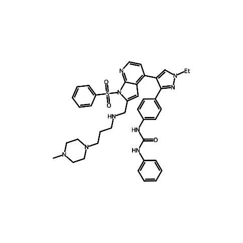 CCn1cc(-c2ccnc3c2cc(CNCCCN2CCN(C)CC2)n3S(=O)(=O)c2ccccc2)c(-c2ccc(NC(=O)Nc3ccccc3)cc2)n1